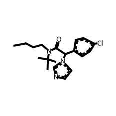 CCCCN(C(=O)C(c1ccc(Cl)cc1)n1ccnc1)C(C)(C)C